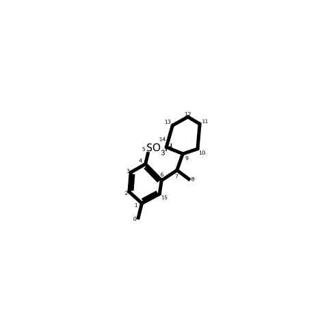 Cc1ccc(S(=O)(=O)O)c(C(C)C2CCCCC2)c1